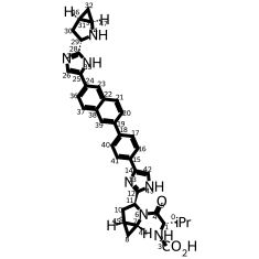 CC(C)[C@H](NC(=O)O)C(=O)N1[C@@H]2C[C@@H]2C[C@H]1c1nc(-c2ccc(-c3ccc4cc(-c5cnc([C@@H]6C[C@H]7C[C@H]7N6)[nH]5)ccc4c3)cc2)c[nH]1